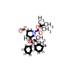 CC(C)(C)OC(=O)N1C[C@@H](C=O)C[C@@H](O[Si](c2ccccc2)(c2ccccc2)C(C)(C)C)C1